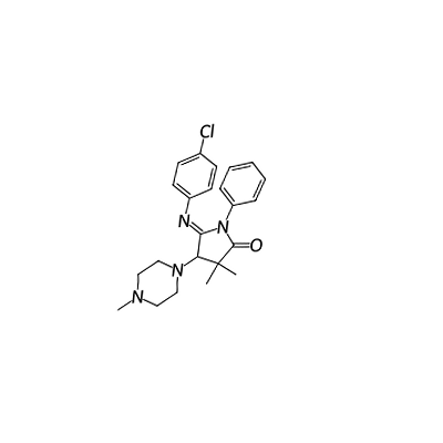 CN1CCN(C2C(=Nc3ccc(Cl)cc3)N(c3ccccc3)C(=O)C2(C)C)CC1